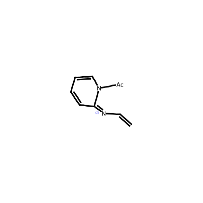 C=C/N=c1/ccccn1C(C)=O